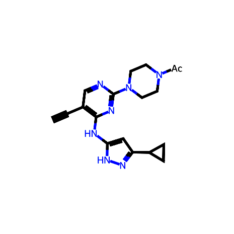 C#Cc1cnc(N2CCN(C(C)=O)CC2)nc1Nc1cc(C2CC2)n[nH]1